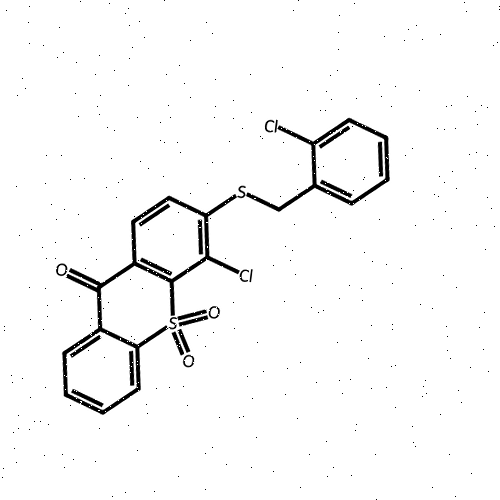 O=C1c2ccccc2S(=O)(=O)c2c1ccc(SCc1ccccc1Cl)c2Cl